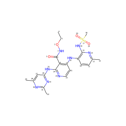 CCONC(=O)c1c(Nc2ccc(C)nc2NS(C)(=O)=O)ccnc1Nc1cc(C)nc(C)n1